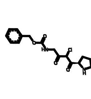 O=C(NCC(=O)C(Cl)C(=O)[C@H]1CCCN1)OCc1ccccc1